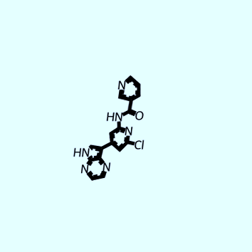 O=C(Nc1cc(-c2c[nH]c3nccnc23)cc(Cl)n1)c1cccnc1